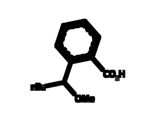 CCCCC(OC)c1ccccc1C(=O)O